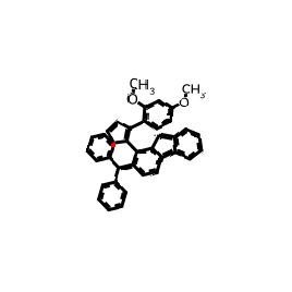 COc1ccc(C2=C(c3c4c(ccc3=C(c3ccccc3)c3ccccc3)=c3ccccc3=[C]4)CC=C2)c(OC)c1